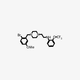 COc1ccc(Br)c(CN2CCN(CCNc3ccccc3OC(F)(F)F)CC2)c1